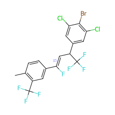 Cc1ccc(/C(F)=C/C(c2cc(Cl)c(Br)c(Cl)c2)C(F)(F)F)cc1C(F)(F)F